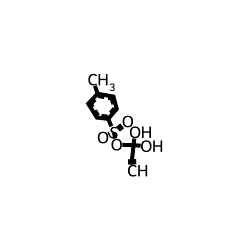 C#CC(O)(O)OS(=O)(=O)c1ccc(C)cc1